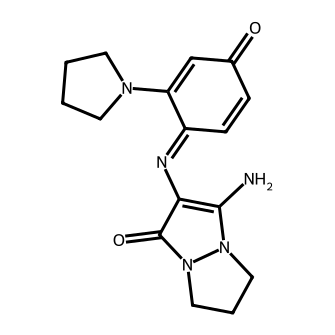 Nc1c(N=C2C=CC(=O)C=C2N2CCCC2)c(=O)n2n1CCC2